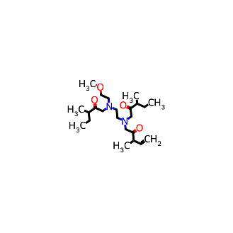 C=CC(C)C(=O)CN(CCN(CCOC)CC(=O)C(C)CC)CC(=O)C(C)CC